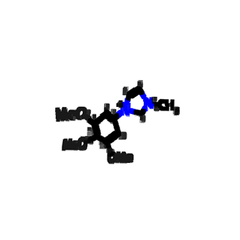 COc1cc(N2C=CN(C)C2)cc(OC)c1OC